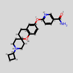 NC(=O)c1ccc(Oc2ccc3c(c2)CCC2(CCN(C4CCC4)CC2)O3)nc1